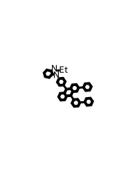 CCc1nc2ccccc2n1-c1ccc(-c2c3ccccc3c(-c3cccc(-c4ccccc4)c3)c3cc(-c4ccccc4)ccc23)cc1